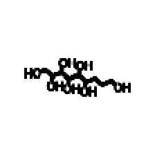 OCCCC(O)C(O)C(O)C(O)C(O)CO